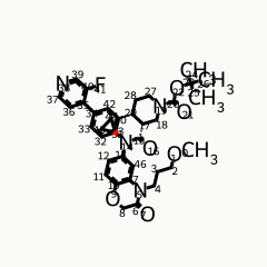 COCCCN1C(=O)COc2ccc(N(C(=O)[C@H]3CN(C(=O)OC(C)(C)C)CC[C@@H]3c3cccc(-c4ccncc4F)c3)C3CC3)cc21